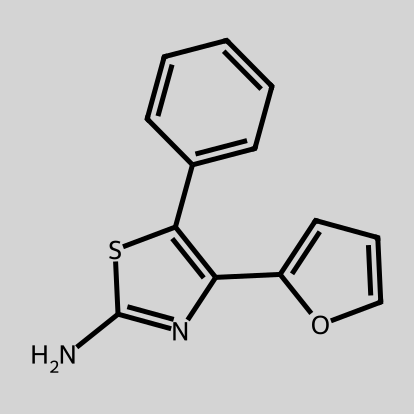 Nc1nc(-c2ccco2)c(-c2ccccc2)s1